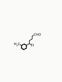 CCC(CCCC=O)c1cccc(C)c1